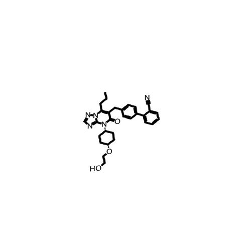 CCCc1c(Cc2ccc(-c3ccccc3C#N)cc2)c(=O)n([C@H]2CC[C@@H](OCCO)CC2)c2ncnn12